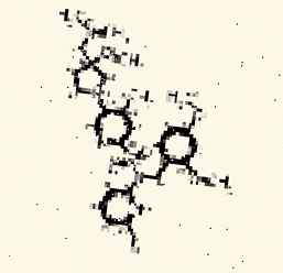 COc1ccc(CN(c2cccc(F)n2)S(=O)(=O)c2cc(C)c(N3CC[C@](CN(C)C)(OC)C3)cn2)c(OC)c1